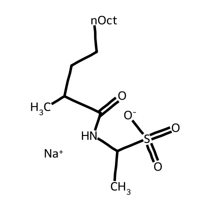 CCCCCCCCCCC(C)C(=O)NC(C)S(=O)(=O)[O-].[Na+]